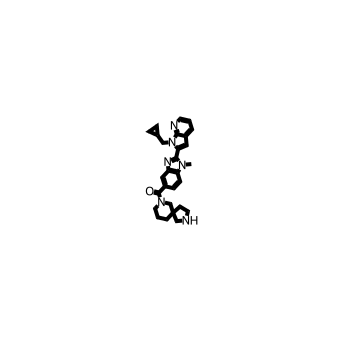 Cn1c(-c2cc3cccnc3n2CC2CC2)nc2cc(C(=O)N3CCCC4(CCNC4)C3)ccc21